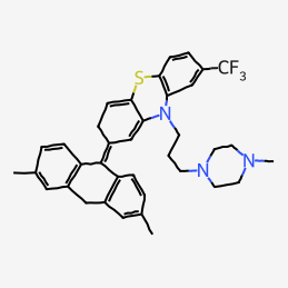 Cc1ccc2c(c1)Cc1cc(C)ccc1C2=C1C=C2C(=CC1)Sc1ccc(C(F)(F)F)cc1N2CCCN1CCN(C)CC1